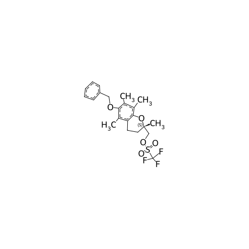 Cc1c(C)c2c(c(C)c1OCc1ccccc1)CC[C@@](C)(COS(=O)(=O)C(F)(F)F)O2